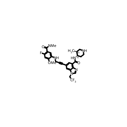 CNC(=O)c1cc(NCC#Cc2cc(C(=O)N[C@H]3CCNC[C@@H]3C)c3ncn(CC(F)(F)F)c3c2)c(OC)cc1F